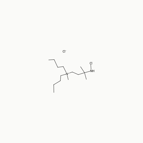 CCCC[N+](C)(CCCC)CCC(C)(C)NCl.[Cl-]